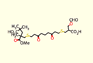 COC(=O)C(C)(CSCCC(=O)CCCC(=O)CCSCC(COC=O)C(=O)O)CC(C)(C)C(=O)O